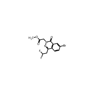 COC(=O)Cn1nc(CC(F)F)c2ccc(Br)cc2c1=O